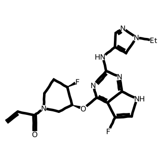 C=CC(=O)N1CC[C@@H](F)[C@@H](Oc2nc(Nc3cnn(CC)c3)nc3[nH]cc(F)c23)C1